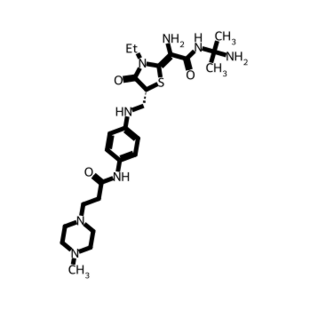 CCN1C(=O)[C@@H](CNc2ccc(NC(=O)CCN3CCN(C)CC3)cc2)S/C1=C(/N)C(=O)NC(C)(C)N